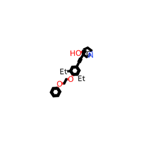 CCc1cc(C#CC2(O)CN3CCC2CC3)cc(CC)c1OCCOc1ccccc1